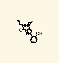 C=CCNC(=O)n1nc(-c2ccccc2O)cc1C1CC1